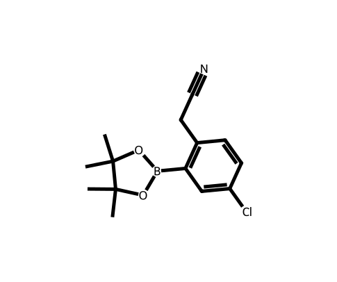 CC1(C)OB(c2cc(Cl)ccc2CC#N)OC1(C)C